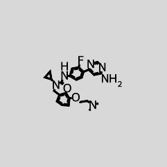 CN(C)CCOc1cccc(CN(C(=O)Nc2ccc(-c3cc(N)ncn3)c(F)c2)C2CC2)c1